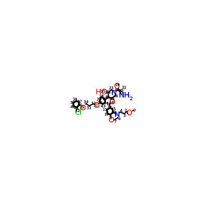 COCCCN1CCOc2ccc(CO[C@H]3CN(C(=O)[C@H](C)N)C[C@@H](O)[C@@H]3c3ccc(OCCCOc4ccccc4Cl)cc3)cc21